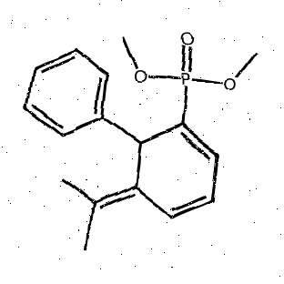 COP(=O)(OC)C1=CC=CC(=C(C)C)C1c1ccccc1